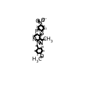 COc1ccc(Cn2nc(C)c3c(Oc4ccc([N+](=O)[O-])cc4F)ccnc32)cc1